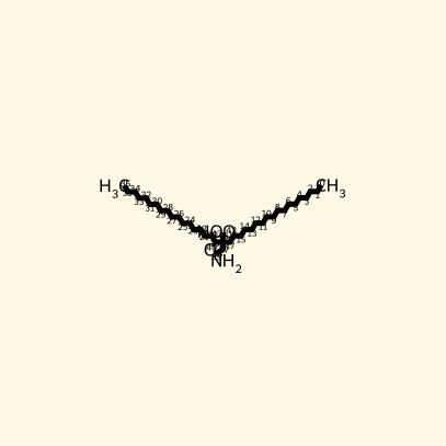 CCCCCCCCCCCCCCCCCCC(CCCCCCCCCCCCCCCCCC)(CC(N)=O)C(=O)O